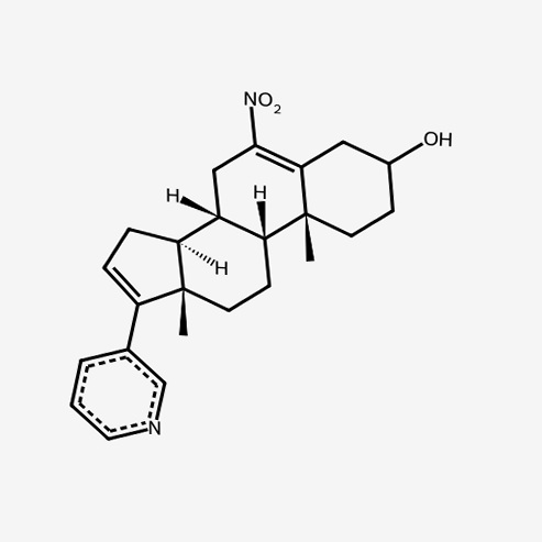 C[C@]12CCC(O)CC1=C([N+](=O)[O-])C[C@@H]1[C@H]2CC[C@]2(C)C(c3cccnc3)=CC[C@@H]12